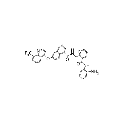 Nc1ccccc1NC(=O)c1cccnc1CNC(=O)c1cccc2cc(Oc3ccnc4c(C(F)(F)F)cccc34)ccc12